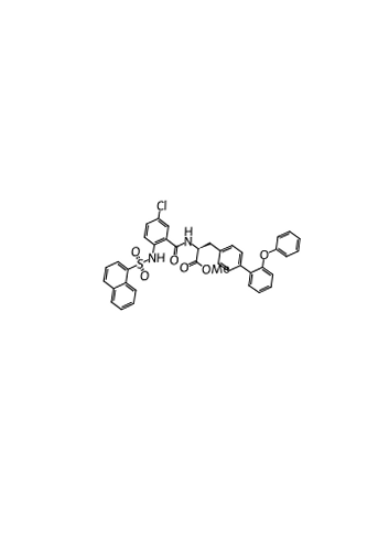 COC(=O)[C@H](Cc1ccc(-c2ccccc2Oc2ccccc2)cc1)NC(=O)c1cc(Cl)ccc1NS(=O)(=O)c1cccc2ccccc12